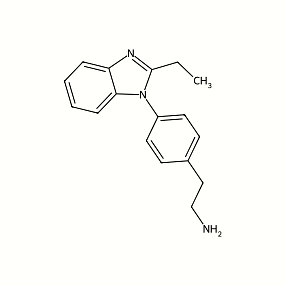 CCc1nc2ccccc2n1-c1ccc(CCN)cc1